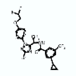 CC(NC(=O)c1cc(C2CC2)cc(C(F)(F)F)c1)c1nc(Br)nn1-c1ncc(OCC(F)F)cn1